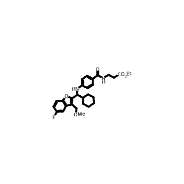 CCOC(=O)CCNC(=O)c1ccc(NC(c2oc3ccc(F)cc3c2COC)C2CCCCC2)cc1